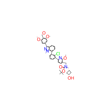 COc1cc(-c2nn(C)c3c(-c4cccc(-c5ccc(CN(C[C@H]6C[C@@H](O)C6)C(=O)OC(C)(C)C)c(OC)n5)c4Cl)cccc23)cc(OC)c1C=O